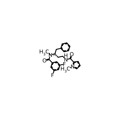 CN(C(=O)c1cc(F)cc(F)c1)[C@H](CCNC(=O)c1cccn1C)Cc1ccccc1